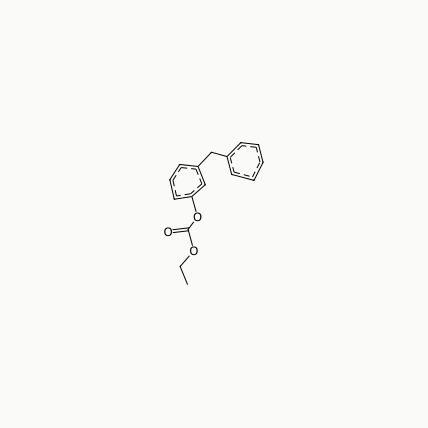 CCOC(=O)Oc1cccc(Cc2ccccc2)c1